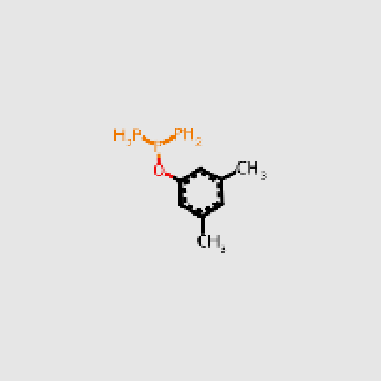 Cc1cc(C)cc(OP(P)P)c1